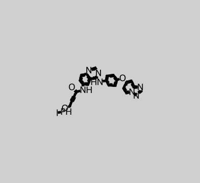 O=C(C#CCOPI)Nc1ccc2ncnc(Nc3ccc(Oc4ccn5ncnc5c4)cc3)c2c1